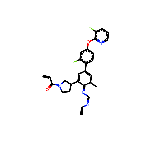 C=C/N=C\N=C1\C(C2CCN(C(=O)C=C)C2)=CC(c2ccc(Oc3ncccc3F)cc2F)=CC1C